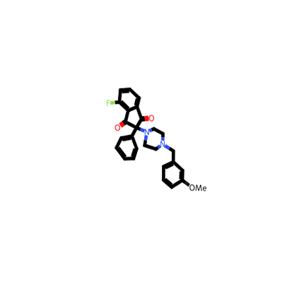 COc1cccc(CN2CCN(C3(c4ccccc4)C(=O)c4cccc(F)c4C3=O)CC2)c1